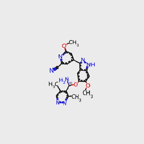 COc1cc(-c2n[nH]c3cc(OC)c(O[C@H](N)c4c(C)cnnc4C)cc23)cc(C#N)n1